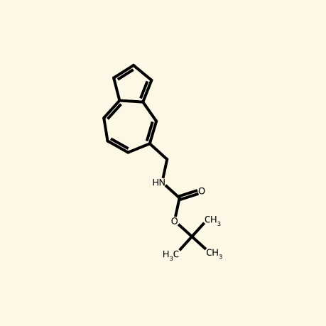 CC(C)(C)OC(=O)NCc1cccc2cccc-2c1